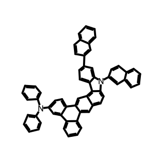 c1ccc(N(c2ccccc2)c2ccc3c(c2)c2ccccc2c2cc4ccc5c(c4cc32)c2ccc(-c3ccc4ccccc4c3)cc2n5-c2ccc3ccccc3c2)cc1